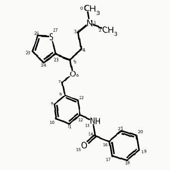 CN(C)CCC(OCc1cccc(NC(=O)c2ccccc2)c1)c1cccs1